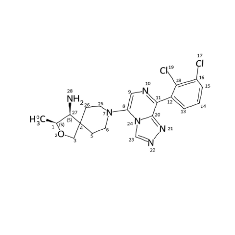 C[C@@H]1OCC2(CCN(c3cnc(-c4cccc(Cl)c4Cl)c4nncn34)CC2)[C@@H]1N